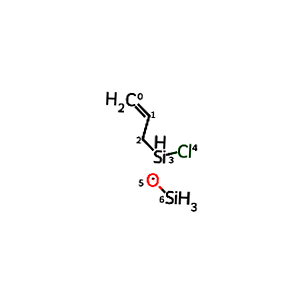 C=CC[SiH](Cl)O[SiH3]